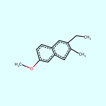 CCc1cc2ccc(OC)cc2cc1C